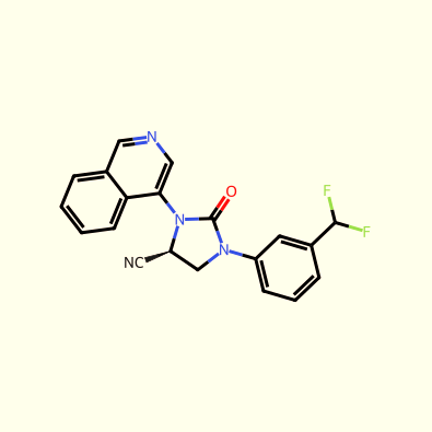 N#C[C@@H]1CN(c2cccc(C(F)F)c2)C(=O)N1c1cncc2ccccc12